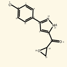 O=C(c1cc(-c2ccc(Cl)cc2)n[nH]1)C1CO1